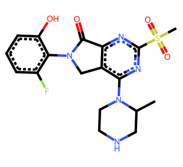 CC1CNCCN1c1nc(S(C)(=O)=O)nc2c1CN(c1c(O)cccc1F)C2=O